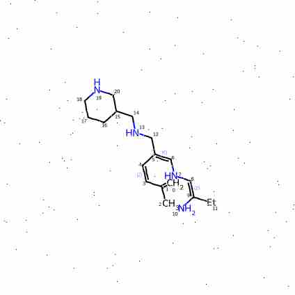 C=C(C)/C=C\C(=C/N/C=C(\N)CC)CNCC1CCCNC1